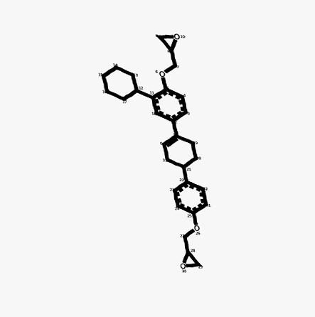 C1=C(c2ccc(OCC3CO3)c(C3CCCCC3)c2)CCC(c2ccc(OCC3CO3)cc2)C1